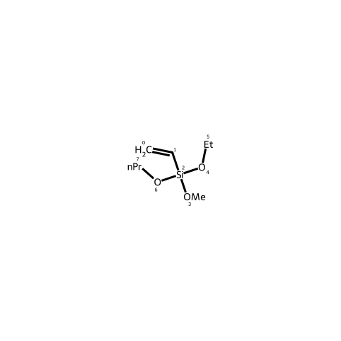 C=C[Si](OC)(OCC)OCCC